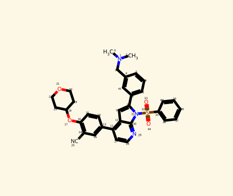 CN(C)Cc1cccc(-c2cc3c(-c4ccc(OC5CCOCC5)c(C#N)c4)ccnc3n2S(=O)(=O)c2ccccc2)c1